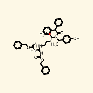 C[C@@H](c1ccc(O)cc1)N(C(=O)C(c1ccccc1)c1ccccc1)[C@H](CCCNC(=NC(=O)OCc1ccccc1)NC(=O)OCc1ccccc1)C(N)=O